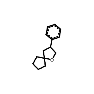 c1ccc(C2COC3(CCCC3)C2)cc1